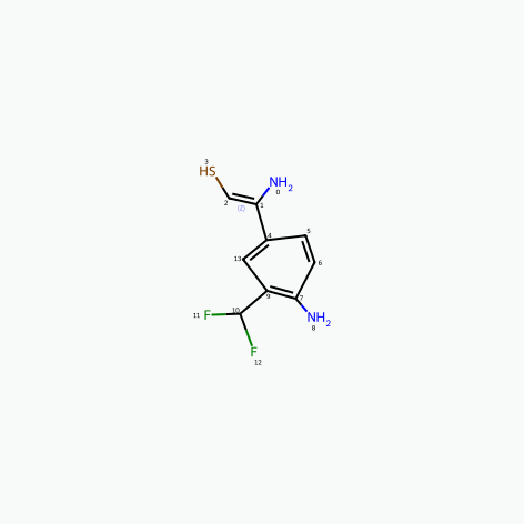 N/C(=C\S)c1ccc(N)c(C(F)F)c1